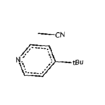 CC#N.CC(C)(C)c1ccncc1